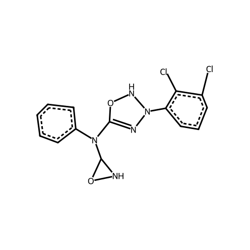 Clc1cccc(N2N=C(N(c3ccccc3)C3NO3)ON2)c1Cl